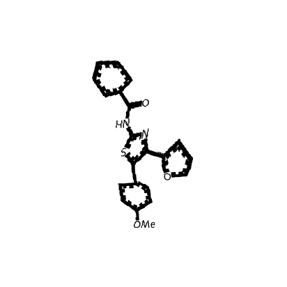 COc1ccc(-c2sc(NC(=O)c3ccccc3)nc2-c2ccco2)cc1